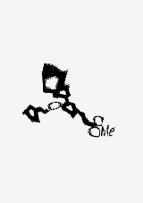 COC(=O)CCc1ccc(OCCC2CCCC2)c(-c2ccc3ccccc3c2)c1